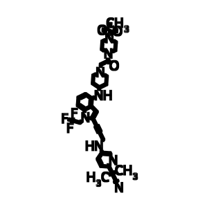 CC(C)(C#N)c1ccc(NCC#Cc2cc3c(NC4CCN(CC(=O)N5CCN(S(C)(=O)=O)CC5)CC4)cccc3n2CC(F)(F)F)cn1